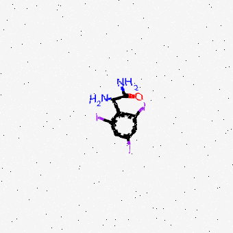 NC(=O)C(N)c1c(I)cc(I)cc1I